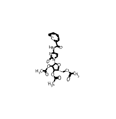 CC(=O)OC[C@H]1O[C@@H](n2ccc(NC(=O)c3ccccc3)nc2=O)C(OC(C)=O)C1OC(C)=O